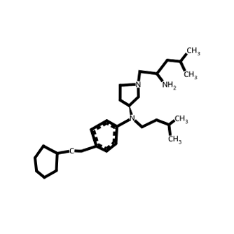 CC(C)CCN(c1ccc(CCC2CCCCC2)cc1)[C@H]1CCN(CC(N)CC(C)C)C1